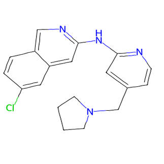 Clc1ccc2cnc(Nc3cc(CN4CCCC4)ccn3)cc2c1